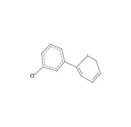 Clc1cccc(C2=CC=CC[CH]2)c1